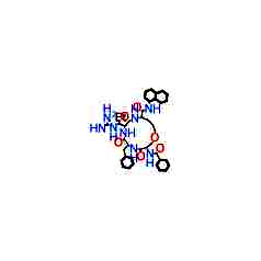 CCC(NC(=N)N)C1NC(=O)C(Cc2ccccc2)NC(=O)C(NC(=O)c2ccccc2)COCCCC(C(=O)Nc2cccc3ccccc23)NC1=O